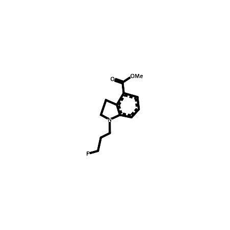 COC(=O)c1cccc2c1CCN2CCCF